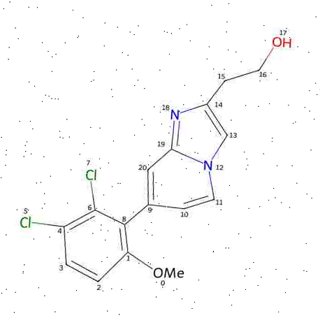 COc1ccc(Cl)c(Cl)c1-c1ccn2cc(CCO)nc2c1